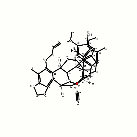 C=CCOc1c(C)c2c(c3c1[C@H]1SC[C@]4(NCCc5cc(O)c(OC)cc54)C(=O)OC[C@@H]3N3C1[C@H]1c4c(cc(C)c(OC)c4O)C[C@@H]([C@@H]3C#N)N1C)OCO2